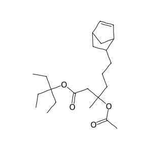 CCC(CC)(CC)OC(=O)CC(C)(CCCC1CC2C=CC1C2)OC(C)=O